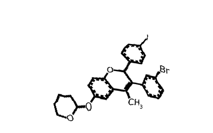 CC1=C(c2cccc(Br)c2)C(c2ccc(I)cc2)Oc2ccc(OC3CCCCO3)cc21